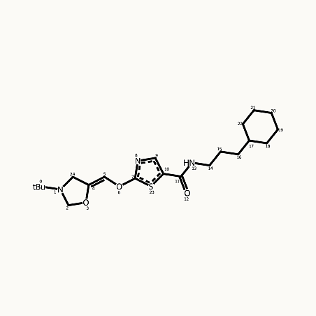 CC(C)(C)N1COC(=COc2ncc(C(=O)NCCCC3CCCCC3)s2)C1